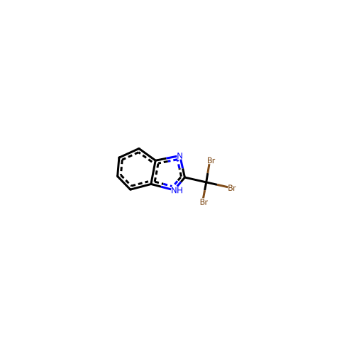 BrC(Br)(Br)c1nc2ccccc2[nH]1